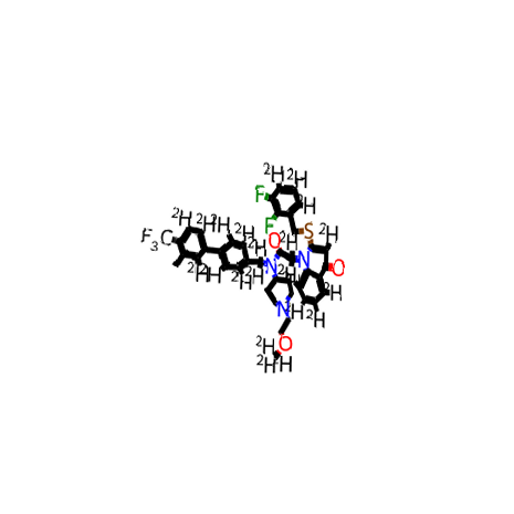 [2H]c1c([2H])c(F)c(F)c(CSc2c([2H])c(=O)c3c([2H])c([2H])c([2H])c([2H])c3n2C([2H])([2H])C(=O)N(C2CCN(CCOC([2H])([2H])[2H])CC2)C([2H])([2H])c2c([2H])c([2H])c(-c3c([2H])c([2H])c(C(F)(F)F)c(C)c3[2H])c([2H])c2[2H])c1[2H]